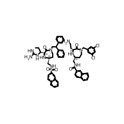 CCC(NC(=N)N)[C@@H]1N[C@H](CNS(=O)(=O)c2ccc3ccccc3c2)CCN(CC(c2ccccc2)c2ccccc2)C1=O.NCC[C@@H]1N[C@H](CNC(=O)c2ccc3ccccc3c2)CCN(Cc2cc(Cl)cc(Cl)c2)C1=O